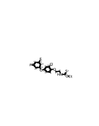 CCOC(=S)NCCOc1ccc(Oc2cc(F)cc(F)c2)cc1Cl